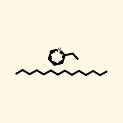 CCCCCCCCCCCCCC.CCc1ccccn1